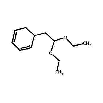 CCOC(CC1C=CC=CC1)OCC